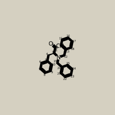 CC(=O)[C@H](Cc1ccccc1)N(Cc1ccccc1)Cc1ccccc1